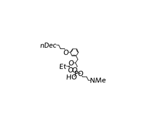 CCCCCCCCCCCCCOc1cccc(CC(COP(O)OCCCNC)OC(=O)CC)c1